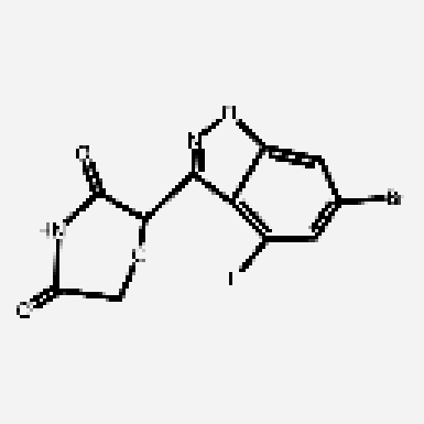 O=C1CCC(c2noc3cc(Br)cc(F)c23)C(=O)N1